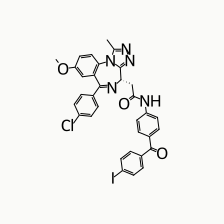 COc1ccc2c(c1)C(c1ccc(Cl)cc1)=N[C@@H](CC(=O)Nc1ccc(C(=O)c3ccc(I)cc3)cc1)c1nnc(C)n1-2